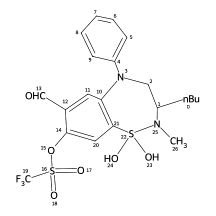 CCCCC1CN(c2ccccc2)c2cc(C=O)c(OS(=O)(=O)C(F)(F)F)cc2S(O)(O)N1C